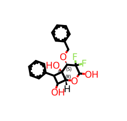 OC1C(c2ccccc2)[C@@]2(O)[C@@H]1OC(O)C(F)(F)[C@H]2OCc1ccccc1